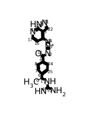 C[C@@H](NC(=N)N)c1ccc(C(=O)N=[N+]=Nc2ccnc3[nH]ncc23)cc1